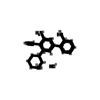 Cl.N#Cc1c(N)nc(-c2ccccc2O)nc1C1CCCNC1